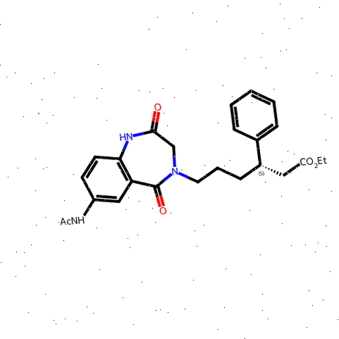 CCOC(=O)C[C@H](CCCN1CC(=O)Nc2ccc(NC(C)=O)cc2C1=O)c1ccccc1